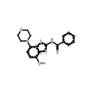 COc1ccc(N2CCOCC2)c2sc(NC(=O)c3ccccc3)nc12